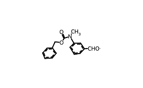 CN(C(=O)OCc1ccccc1)c1cccc([C]=O)c1